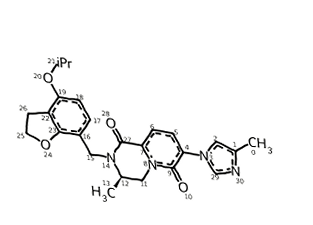 Cc1cn(-c2ccc3n(c2=O)C[C@@H](C)N(Cc2ccc(OC(C)C)c4c2OCC4)C3=O)cn1